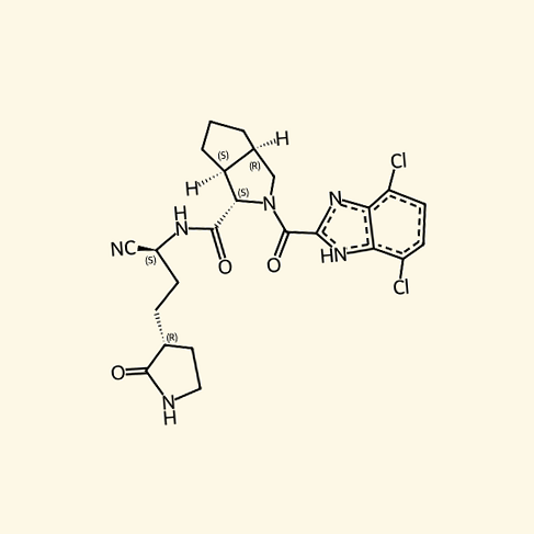 N#C[C@H](CC[C@@H]1CCNC1=O)NC(=O)[C@@H]1[C@H]2CCC[C@H]2CN1C(=O)c1nc2c(Cl)ccc(Cl)c2[nH]1